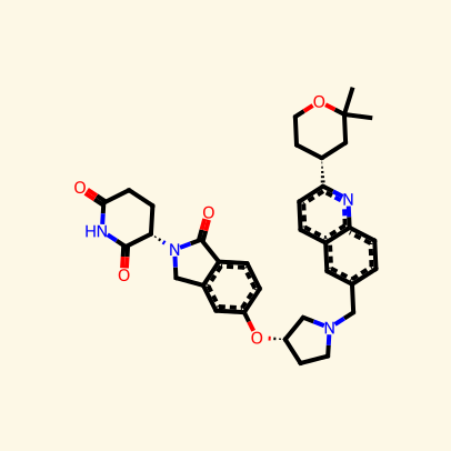 CC1(C)C[C@H](c2ccc3cc(CN4CC[C@H](Oc5ccc6c(c5)CN([C@H]5CCC(=O)NC5=O)C6=O)C4)ccc3n2)CCO1